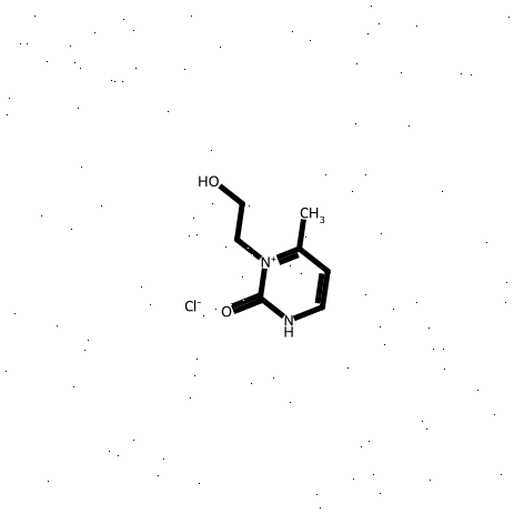 Cc1cc[nH]c(=O)[n+]1CCO.[Cl-]